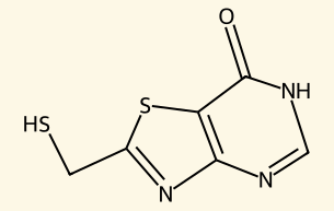 O=c1[nH]cnc2nc(CS)sc12